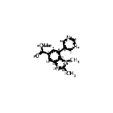 COC(=O)c1cc(-c2cncnc2)c2c(c1)nc(C)n2C